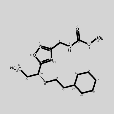 CC(C)(C)OC(=O)NCc1noc([C@H](CCCC2CCCCC2)CC(=O)O)n1